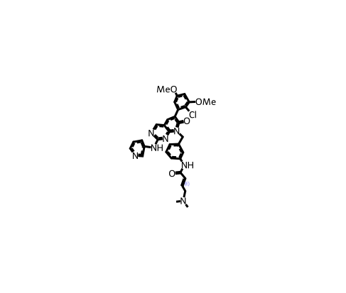 COc1cc(OC)c(Cl)c(-c2cc3cnc(Nc4cccnc4)nc3n(Cc3cccc(NC(=O)/C=C/CN(C)C)c3)c2=O)c1